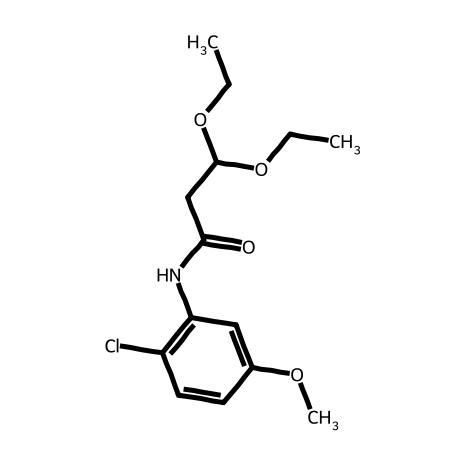 CCOC(CC(=O)Nc1cc(OC)ccc1Cl)OCC